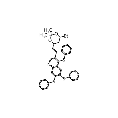 CC[C@H]1C[C@@H](/C=C/c2cnc3cc(Sc4ccccc4)c(Sc4ccccc4)cc3c2Sc2ccccc2)OC(C)(C)O1